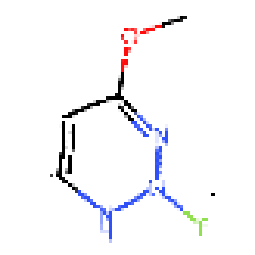 COC1=NN(F)N[C]=C1